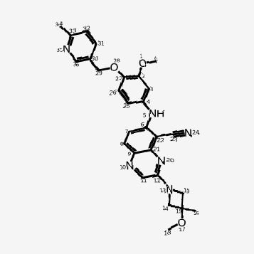 COc1cc(Nc2ccc3ncc(N4CC(C)(OC)C4)nc3c2C#N)ccc1OCc1ccc(C)nc1